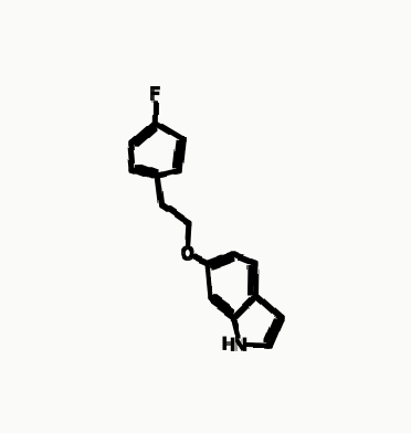 Fc1ccc(CCOc2ccc3cc[nH]c3c2)cc1